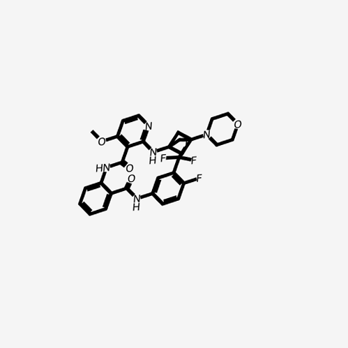 COc1ccnc(NC23CC(N4CCOCC4)(C2)C3)c1C(=O)Nc1ccccc1C(=O)Nc1ccc(F)c(C(F)(F)F)c1